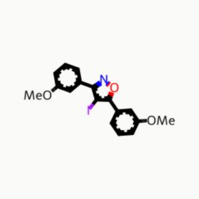 COc1cccc(-c2noc(-c3cccc(OC)c3)c2I)c1